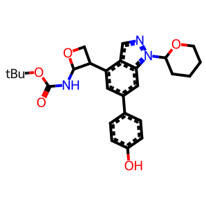 CC(C)(C)OC(=O)NC1OCC1c1cc(-c2ccc(O)cc2)cc2c1cnn2C1CCCCO1